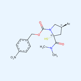 CC(=O)[C@@H]1CN(C(=O)OCc2ccc([N+](=O)[O-])cc2)[C@](S)(C(=O)N(C)C)C1